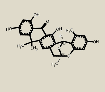 Cc1cc(O)cc2c1[C@H]1O[C@](C)(Cc3cc4c(c(O)c31)C(=O)c1c(O)cc(O)cc1C4(C)C)O2